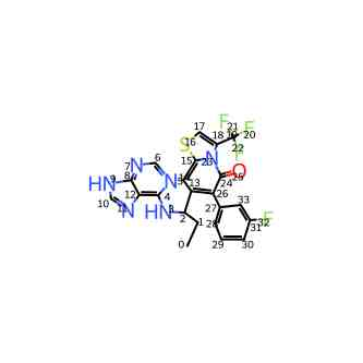 CCC(Nc1ncnc2[nH]cnc12)c1cc2scc(C(F)(F)F)n2c(=O)c1-c1cccc(F)c1